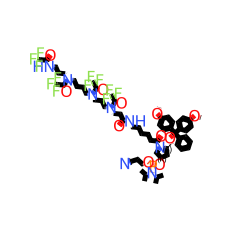 COc1ccc(C(OC[C@@H]2C[C@@H](OP(OCCC#N)N(C(C)C)C(C)C)CN2C(=O)CCCCCNC(=O)CCN(CCCN(CCCCN(CCCNC(=O)C(F)(F)F)C(=O)C(F)(F)F)C(=O)C(F)(F)F)C(=O)C(F)(F)F)(c2ccccc2)c2ccc(OC)cc2)cc1